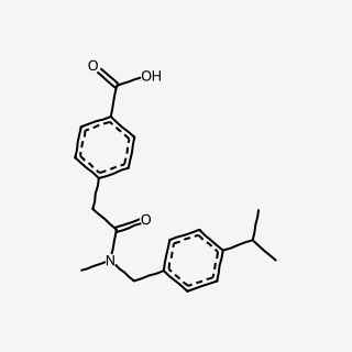 CC(C)c1ccc(CN(C)C(=O)Cc2ccc(C(=O)O)cc2)cc1